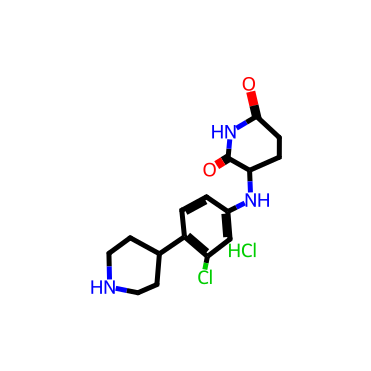 Cl.O=C1CCC(Nc2ccc(C3CCNCC3)c(Cl)c2)C(=O)N1